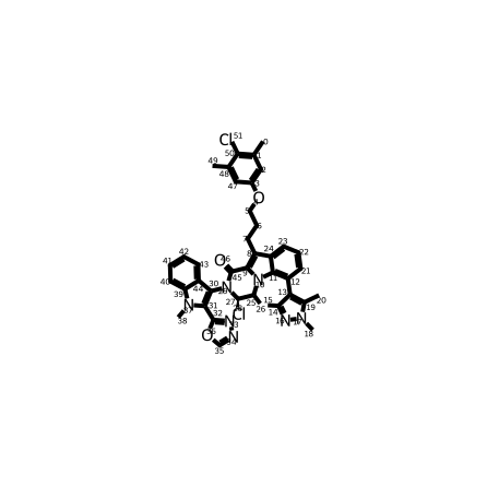 Cc1cc(OCCCc2c3n(c4c(-c5c(C)nn(C)c5C)cccc24)C(C)[C@@H](Cl)N(c2c(-c4nnco4)n(C)c4ccccc24)C3=O)cc(C)c1Cl